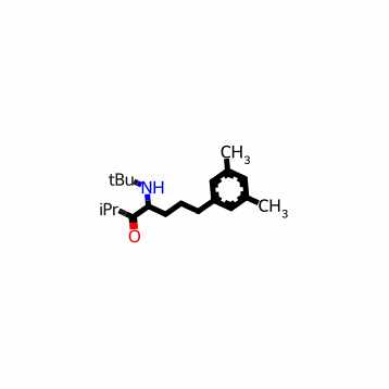 Cc1cc(C)cc(CCCC(NC(C)(C)C)C(=O)C(C)C)c1